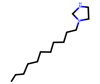 CCCCCCCCCCCN1CCNC1